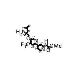 C=C(C)CC(C)(N)COc1cnc(-c2ccnc(NC(=O)OC)c2)cc1C(F)(F)F